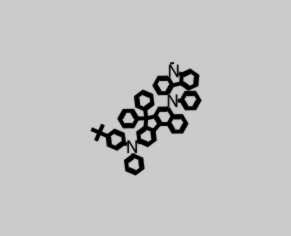 Cn1c2ccccc2c2c(N(c3ccccc3)c3cc4c(c5ccccc35)-c3ccc(N(c5ccccc5)c5ccc(C(C)(C)C)cc5)cc3C4(c3ccccc3)c3ccccc3)cccc21